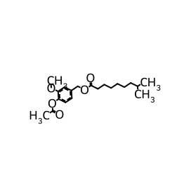 COc1cc(COC(=O)CCCCCCC(C)C)ccc1OC(C)=O